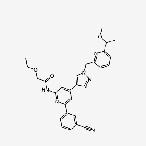 CCOCC(=O)Nc1cc(-c2cn(Cc3cccc(C(C)OC)n3)nn2)cc(-c2cccc(C#N)c2)n1